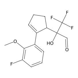 COc1c(F)cccc1C1=CCCC1C(O)(C=O)C(F)(F)F